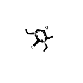 CCn1ccc(C)[n+](CC)c1=O.[Cl-]